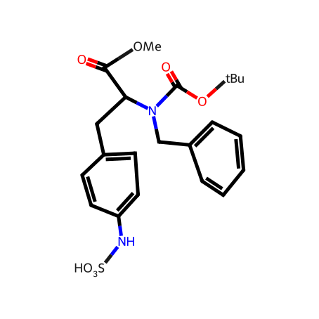 COC(=O)C(Cc1ccc(NS(=O)(=O)O)cc1)N(Cc1ccccc1)C(=O)OC(C)(C)C